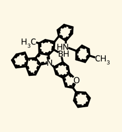 Cc1ccc(Nc2ccccc2-c2cc(C)c3c4c5ccccc5ccc4n4c3c2Bc2cc3oc(-c5ccccc5)cc3cc2-4)cc1